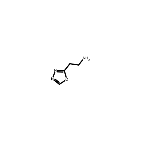 NCCc1nnco1